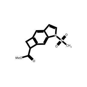 COC(=O)C1Cc2cc3ccn(S(C)(=O)=O)c3cc21